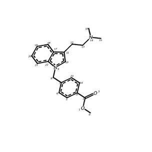 COC(=O)c1ccc(Cn2cc(CCN(C)C)c3ccccc32)cc1